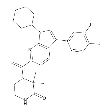 C=C(c1ccc2c(-c3ccc(C)c(F)c3)cn(C3CCCCC3)c2n1)N1CCNC(=O)C1(C)C